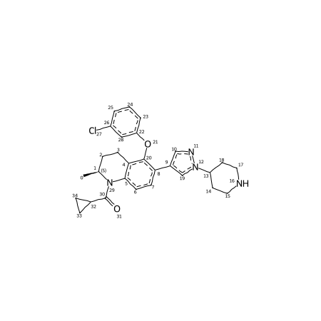 C[C@H]1CCc2c(ccc(-c3cnn(C4CCNCC4)c3)c2Oc2cccc(Cl)c2)N1C(=O)C1CC1